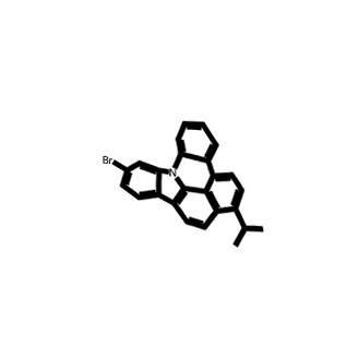 CC(C)c1ccc2c3ccccc3n3c4cc(Br)ccc4c4ccc1c2c43